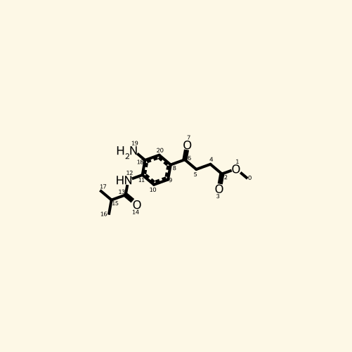 COC(=O)CCC(=O)c1ccc(NC(=O)C(C)C)c(N)c1